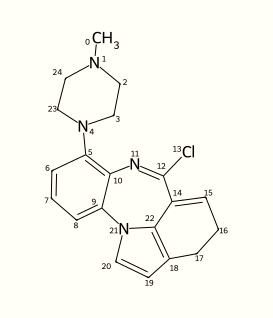 CN1CCN(c2cccc3c2N=C(Cl)C2=CCCc4ccn-3c42)CC1